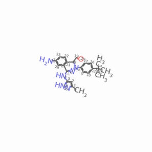 Cc1cc(NC2=NN(c3ccc(C(C)(C)C)cc3)C(C=O)c3ccc(N)cc32)[nH]n1